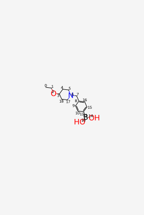 CCOC1CCN(Cc2ccc(B(O)O)cc2)CC1